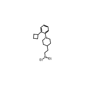 CCN(CC)CCC1CCN(c2cc[c]cc2C2CCC2)CC1